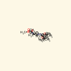 C=C1/C(=C\C=C2/CCC[C@]3(C)[C@@H]([C@H](C)/C=C/C(=O)C(C)(C)C(=O)OCCC)CC[C@@H]23)C[C@@H](O[Si](C)(C)C(C)(C)C)C[C@@H]1O[Si](C)(C)C(C)(C)C